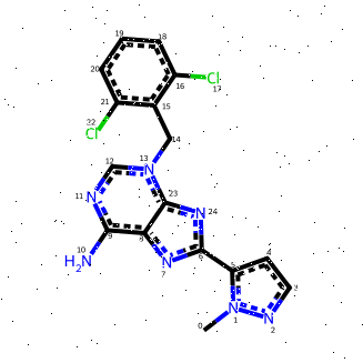 Cn1nccc1-c1nc2c(N)ncn(Cc3c(Cl)cccc3Cl)c-2n1